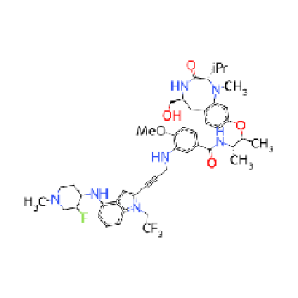 COc1ccc(C(=O)N[C@@H](C)[C@H](C)Oc2ccc3c(c2)N(C)[C@@H](C(C)C)C(=O)N[C@H](CO)C3)cc1NCC#Cc1cc2c(N[C@@H]3CCN(C)C[C@@H]3F)cccc2n1CC(F)(F)F